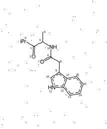 CC(C)C(=O)C(C)NC(=O)Cc1c[nH]c2ccccc12